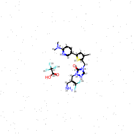 Cc1cc(-c2ccc(N(C)C)nc2)sc1Cn1cnn(CC(CN)=C(F)F)c1=O.O=C(O)C(F)(F)F